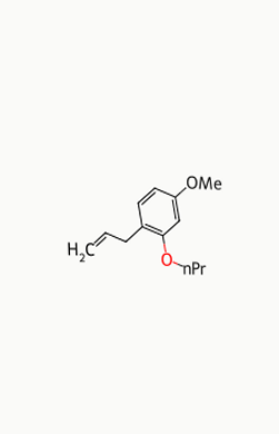 C=CCc1ccc(OC)cc1OCCC